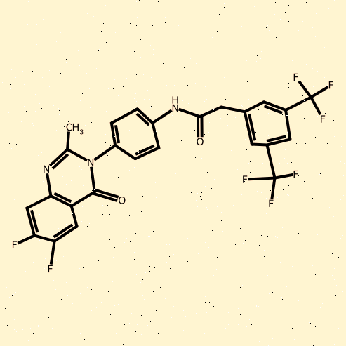 Cc1nc2cc(F)c(F)cc2c(=O)n1-c1ccc(NC(=O)Cc2cc(C(F)(F)F)cc(C(F)(F)F)c2)cc1